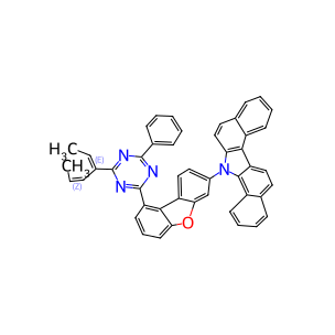 C/C=C\C(=C/C)c1nc(-c2ccccc2)nc(-c2cccc3oc4cc(-n5c6ccc7ccccc7c6c6ccc7ccccc7c65)ccc4c23)n1